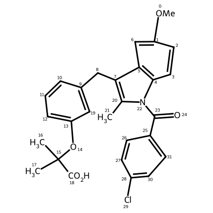 COc1ccc2c(c1)c(Cc1cccc(OC(C)(C)C(=O)O)c1)c(C)n2C(=O)c1ccc(Cl)cc1